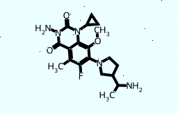 COc1c(N2CCC(C(C)N)C2)c(F)c(C)c2c(=O)n(N)c(=O)n(C3CC3)c12